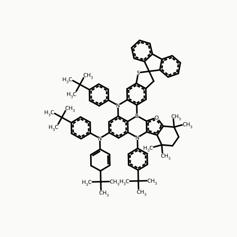 CC(C)(C)c1ccc(N(C2=CCC(C(C)(C)C)C=C2)c2cc3c4c(c2)N(c2ccc(C(C)(C)C)cc2)c2c(oc5c2C(C)(C)CCC5(C)C)B4c2cc4c(cc2N3c2ccc(C(C)(C)C)cc2)SC2(C4)c3ccccc3-c3ccccc32)cc1